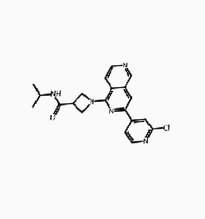 CC(C)NC(=O)C1CN(c2nc(-c3ccnc(Cl)c3)cc3cnccc23)C1